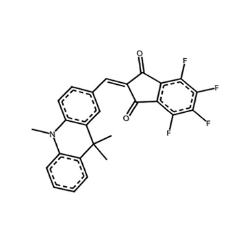 CN1c2ccccc2C(C)(C)c2cc(C=C3C(=O)c4c(F)c(F)c(F)c(F)c4C3=O)ccc21